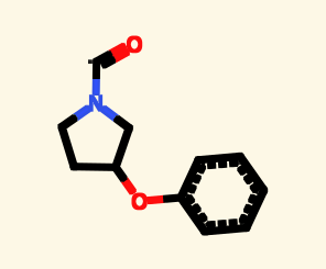 O=[C]N1CCC(Oc2ccccc2)C1